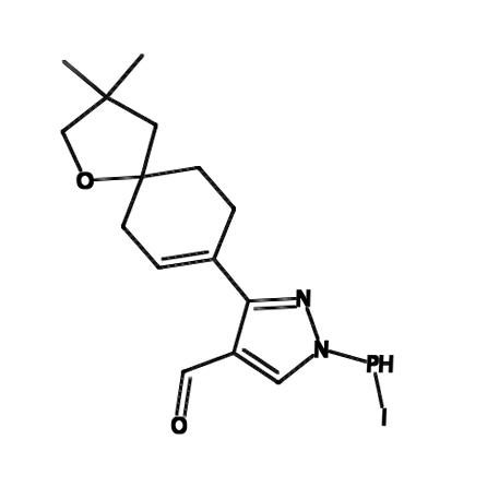 CC1(C)COC2(CC=C(c3nn(PI)cc3C=O)CC2)C1